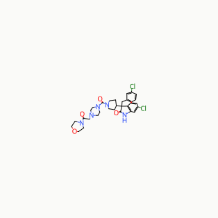 O=C(CN1CCN(C(=O)N2CCC(C3(Cc4cccc(Cl)c4)C(=O)Nc4cc(Cl)ccc43)CC2)CC1)N1CCOCC1